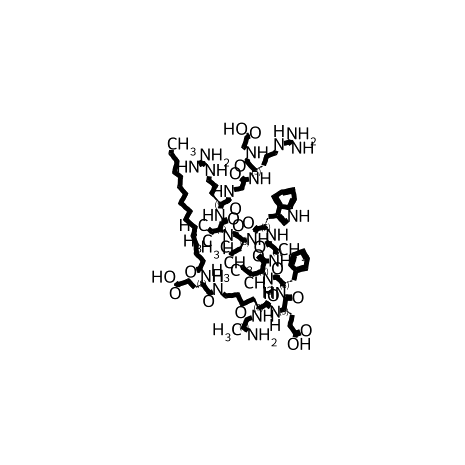 CCCCCCCCCCCCCCCC(=O)N[C@@H](CCC(=O)O)C(=O)NCCCC[C@H](NC(=O)[C@H](C)N)C(=O)N[C@@H](CCC(=O)O)C(=O)N[C@@H](Cc1ccccc1)C(=O)N[C@H](C(=O)N[C@@H](C)C(=O)N[C@@H](Cc1c[nH]c2ccccc12)C(=O)N[C@@H](CC(C)C)C(=O)N[C@H](C(=O)N[C@@H](CCCNC(=N)N)C(=O)NCC(=O)N[C@@H](CCCNC(=N)N)C(=O)NCC(=O)O)C(C)C)C(C)CC